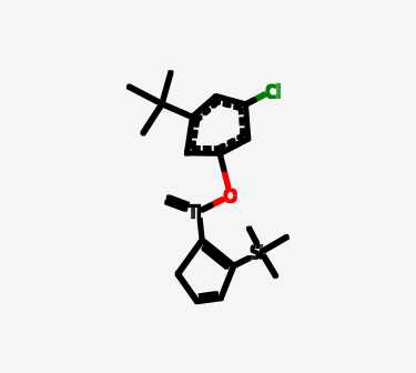 [CH2]=[Ti]([O]c1cc(Cl)cc(C(C)(C)C)c1)[C]1=C([Si](C)(C)C)C=CC1